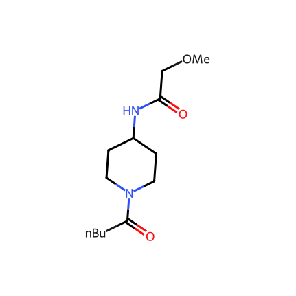 CCCCC(=O)N1CCC(NC(=O)COC)CC1